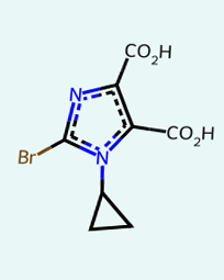 O=C(O)c1nc(Br)n(C2CC2)c1C(=O)O